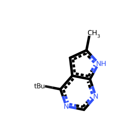 Cc1cc2c(C(C)(C)C)ncnc2[nH]1